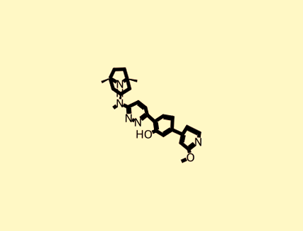 COc1cc(-c2ccc(-c3ccc(N(C)[C@H]4C[C@]5(C)CC[C@](C)(C4)N5)nn3)c(O)c2)ccn1